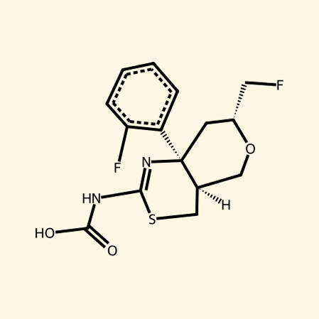 O=C(O)NC1=N[C@@]2(c3ccccc3F)C[C@H](CF)OC[C@H]2CS1